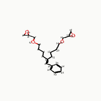 C(=C(CCCCOCC1CO1)CCCCOCC1CO1)c1ccccc1